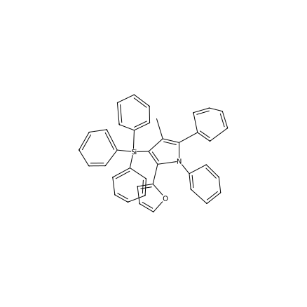 Cc1c([Si](c2ccccc2)(c2ccccc2)c2ccccc2)c(-c2ccco2)n(-c2ccccc2)c1-c1ccccc1